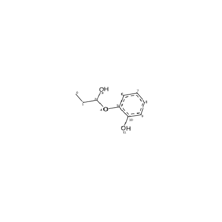 CCC(O)Oc1ccccc1O